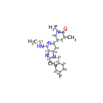 CSNc1nc(-c2cc(C)c(=O)n(C)c2)cc2c1nc(C)n2Cc1ccc(F)cc1